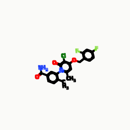 Cc1ccc(C(N)=O)cc1-n1c(C)cc(OCc2ccc(F)cc2F)c(Cl)c1=O